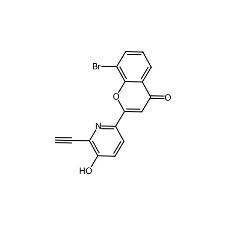 C#Cc1nc(-c2cc(=O)c3cccc(Br)c3o2)ccc1O